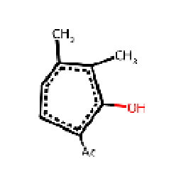 CC(=O)c1ccc(C)c(C)c1O